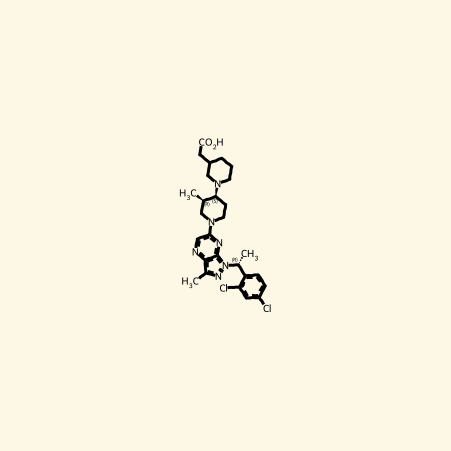 Cc1nn([C@H](C)c2ccc(Cl)cc2Cl)c2nc(N3CC[C@H](N4CCCC(CC(=O)O)C4)[C@H](C)C3)cnc12